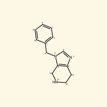 c1ccc(Cn2cnc3c2CNCC3)cc1